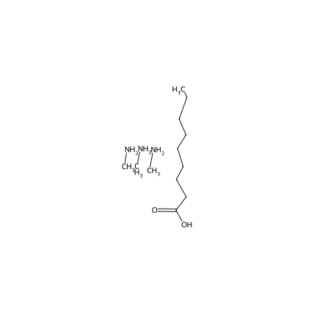 CCCCCCCCC(=O)O.CN.CN.CN